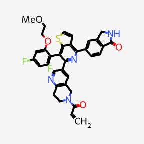 C=CC(=O)N1CCc2ncc(-c3nc(-c4ccc5c(c4)CNC5=O)c4ccsc4c3-c3c(F)cc(F)cc3OCCOC)cc2C1